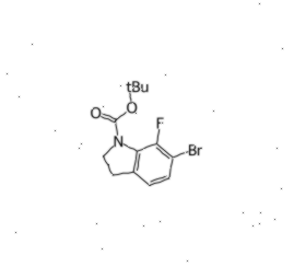 CC(C)(C)OC(=O)N1CCc2ccc(Br)c(F)c21